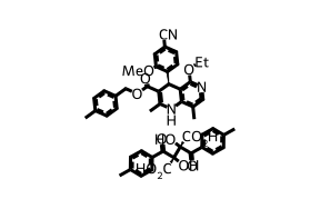 CCOc1ncc(C)c2c1[C@H](c1ccc(C#N)cc1OC)C(C(=O)OCc1ccc(C)cc1)=C(C)N2.Cc1ccc(C(=O)[C@](O)(C(=O)O)[C@@](O)(C(=O)O)C(=O)c2ccc(C)cc2)cc1